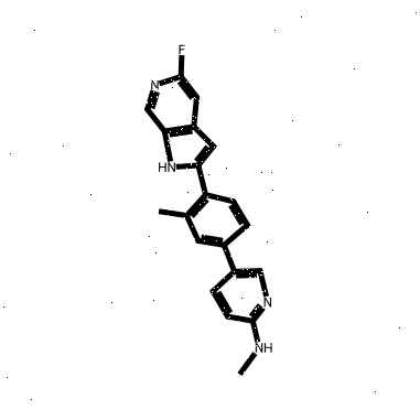 CNc1ccc(-c2ccc(-c3cc4cc(F)ncc4[nH]3)c(C)c2)cn1